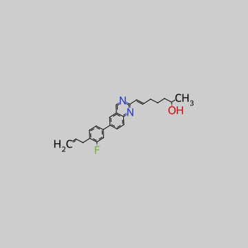 C=CCc1ccc(-c2ccc3nc(C=CCCCC(C)O)ncc3c2)cc1F